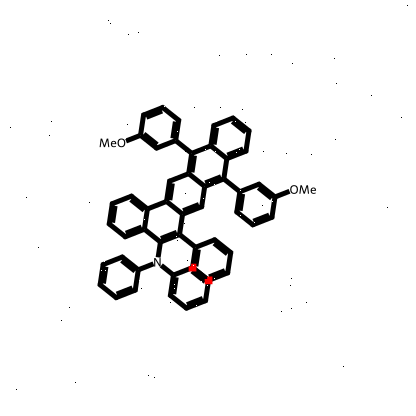 COc1cccc(-c2c3ccccc3c(-c3cccc(OC)c3)c3cc4c(cc23)c(-c2ccccc2)c(N(c2ccccc2)c2ccccc2)c2ccccc24)c1